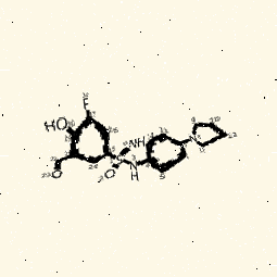 N=S(=O)(Nc1ccc(N2CCCC2)cc1)c1cc(F)c(O)c(C=O)c1